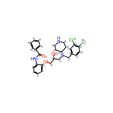 O=C(Nc1ccccc1OCC(O)CN(Cc1ccc(Cl)c(Cl)c1)C1CCNCC1)c1ccccc1